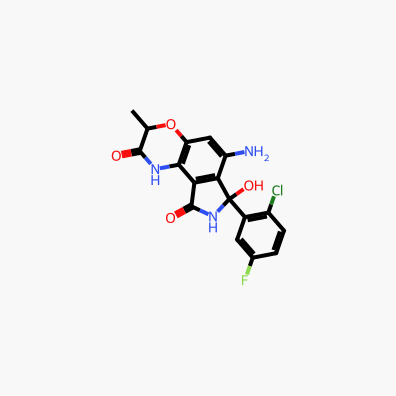 CC1Oc2cc(N)c3c(c2NC1=O)C(=O)NC3(O)c1cc(F)ccc1Cl